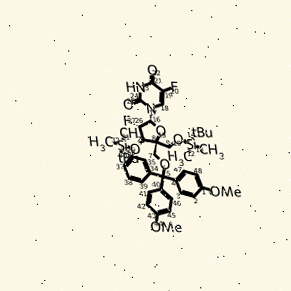 COc1ccc(C(OC[C@]2(CO[Si](C)(C)C(C)(C)C)O[C@@H](n3cc(F)c(=O)[nH]c3=O)[C@@H](F)[C@@H]2O[Si](C)(C)C(C)(C)C)(c2ccccc2)c2ccc(OC)cc2)cc1